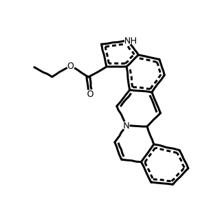 CCOC(=O)c1c[nH]c2ccc3c(c12)=CN1C=Cc2ccccc2C1C=3